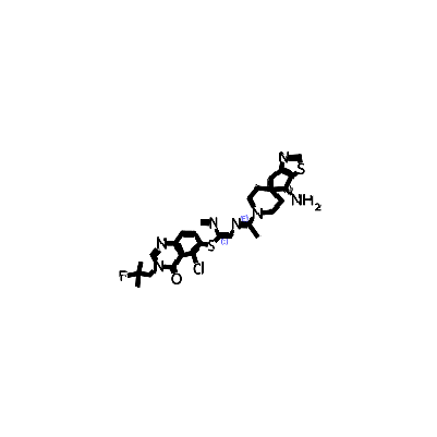 C=N/C(=C\N=C(/C)N1CCC2(CC1)Cc1ncsc1[C@H]2N)Sc1ccc2ncn(CC(C)(C)F)c(=O)c2c1Cl